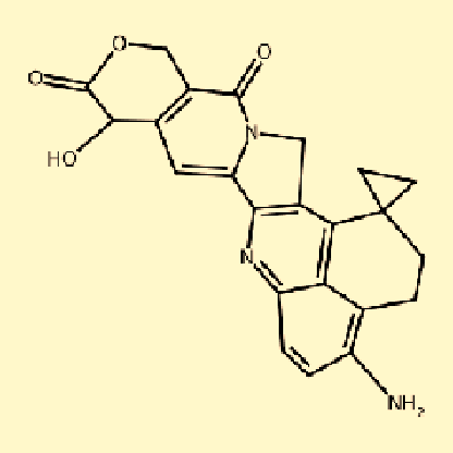 Nc1ccc2nc3c(c4c2c1CCC41CC1)Cn1c-3cc2c(c1=O)COC(=O)C2O